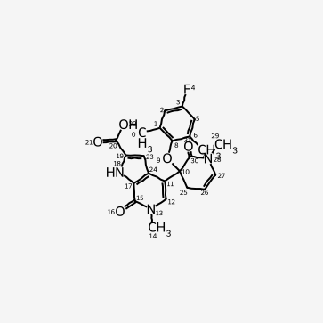 Cc1cc(F)cc(C)c1OC1(c2cn(C)c(=O)c3[nH]c(C(=O)O)cc23)CC=CN(C)C1=O